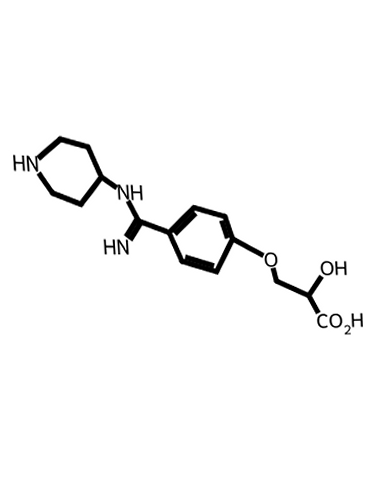 N=C(NC1CCNCC1)c1ccc(OCC(O)C(=O)O)cc1